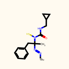 CC(C)(C)N=NC(C)(Cc1ccccc1)N(S)C(=O)NCC1CC1